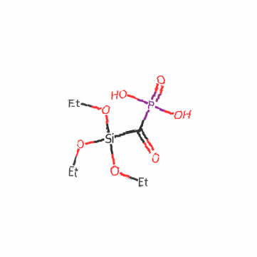 CCO[Si](OCC)(OCC)C(=O)P(=O)(O)O